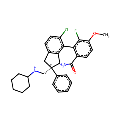 COc1ccc(C(N)=O)c(-c2c(Cl)ccc3c2C[C@@](CNC2CCCCC2)(c2ccccc2)C3)c1F